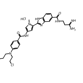 Cl.Cn1cc(NC(=O)c2ccc(N(CCCl)CCCl)cc2)cc1-c1nc2cc(C(=O)NCCC(=N)N)ccc2[nH]1